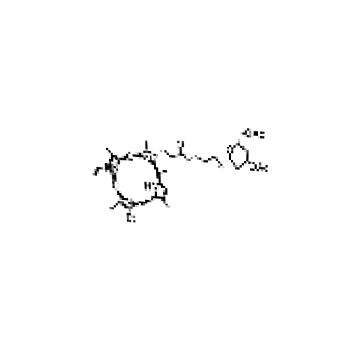 C=Cc1c(C)c2cc3nc(c(C)c4cc(C)c(cc5nc(cc1[nH]2)C(C)=C5CC)[nH]4)[C@@H](CCC(=O)OCCCS[C@H]1C[C@@H](OC(C)=O)C[C@@H](COC(C)=O)O1)[C@@H]3C